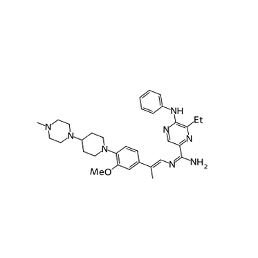 CCc1nc(/C(N)=N\C=C(/C)c2ccc(N3CCC(N4CCN(C)CC4)CC3)c(OC)c2)cnc1Nc1ccccc1